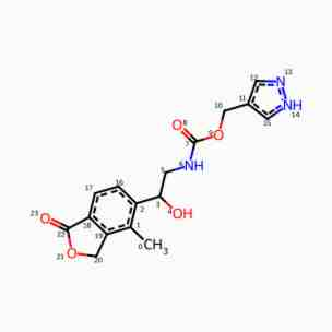 Cc1c(C(O)CNC(=O)OCc2cn[nH]c2)ccc2c1COC2=O